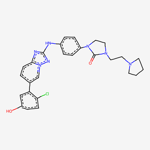 O=C1N(CCN2CCCC2)CCN1c1ccc(Nc2nc3ccc(-c4cc(O)ccc4Cl)cn3n2)cc1